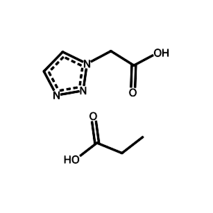 CCC(=O)O.O=C(O)Cn1ccnn1